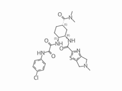 CN1Cc2nc(C(=O)N[C@@H]3C[C@@H](C(=O)N(C)C)CC[C@@H]3NC(=O)C(=O)Nc3ccc(Cl)cc3)sc2C1